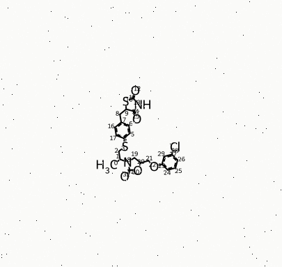 CC(CSc1ccc(CC2SC(=O)NC2=O)cc1)N1CC(COc2cccc(Cl)c2)OC1=O